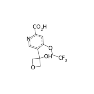 O=C(O)c1cc(OCC(F)(F)F)c(C2(O)COC2)cn1